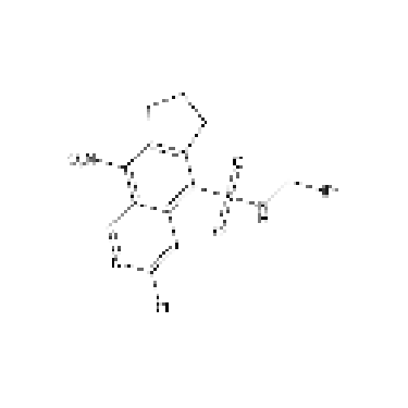 CC(C)CNS(=O)(=O)c1c2c(c([N+](=O)[O-])c3cnc(Cl)cc13)CCC2